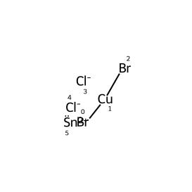 [Br][Cu][Br].[Cl-].[Cl-].[Sn+2]